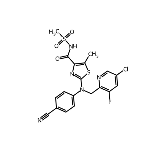 Cc1sc(N(Cc2ncc(Cl)cc2F)c2ccc(C#N)cc2)nc1C(=O)NS(C)(=O)=O